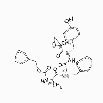 C[C@@H](NC(=O)OCc1ccccc1)C(=O)N[C@@H](Cc1ccccc1)C(=O)N[C@@H](Cc1ccc(O)cc1)C(=O)[C@@]1(C)CO1